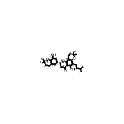 CC(C)=CCc1c(O)c2c(c3c1OC(C)(C)C=C3)O[C@H](c1cc(O)c3c(c1)C=CC(C)(C)O3)CC2=O